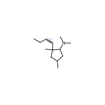 CC/C=C\C1(C)CC(C)CC1N(C)C